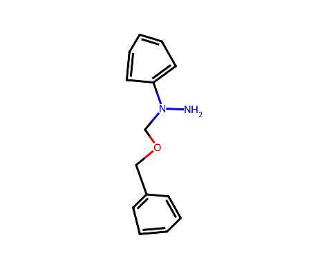 NN(COCc1ccccc1)c1ccccc1